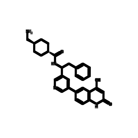 NC[C@H]1CC[C@H](C(=O)NC(Cc2ccccc2)c2cncc(-c3ccc4[nH]c(=O)cc(O)c4c3)c2)CC1